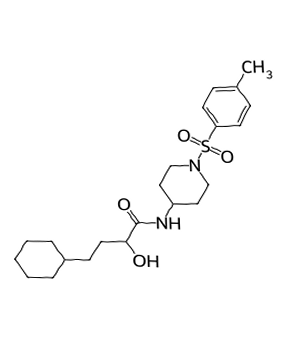 Cc1ccc(S(=O)(=O)N2CCC(NC(=O)C(O)CCC3CCCCC3)CC2)cc1